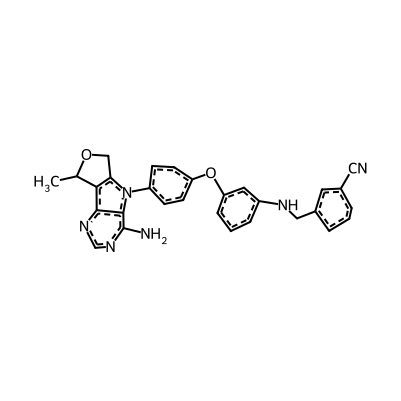 CC1OCc2c1c1ncnc(N)c1n2-c1ccc(Oc2cccc(NCc3cccc(C#N)c3)c2)cc1